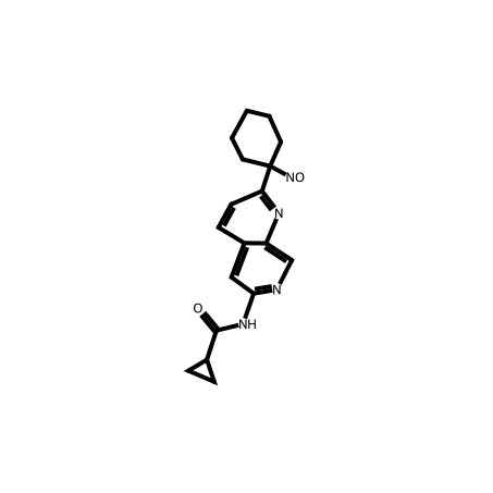 O=NC1(c2ccc3cc(NC(=O)C4CC4)ncc3n2)CCCCC1